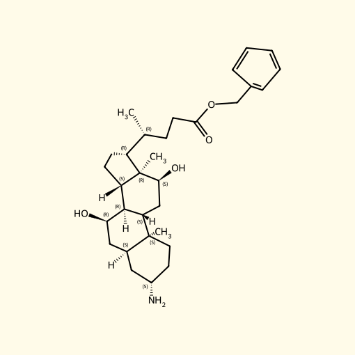 C[C@H](CCC(=O)OCc1ccccc1)[C@H]1CC[C@H]2[C@@H]3[C@H](O)C[C@@H]4C[C@@H](N)CC[C@]4(C)[C@H]3C[C@H](O)[C@]12C